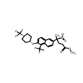 COC(=O)CCC(C)(c1ccc2c(C(F)(F)F)c(O[C@H]3CC[C@H](C(F)(F)F)CC3)ccc2c1)[N+](=O)[O-]